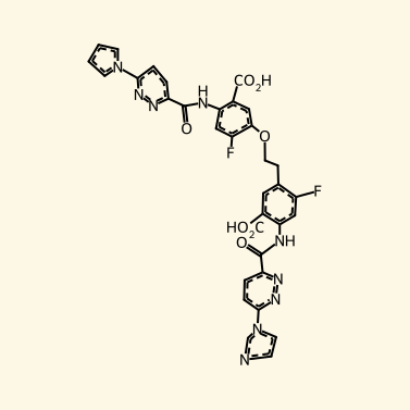 O=C(Nc1cc(F)c(CCOc2cc(C(=O)O)c(NC(=O)c3ccc(-n4cccc4)nn3)cc2F)cc1C(=O)O)c1ccc(-n2ccnc2)nn1